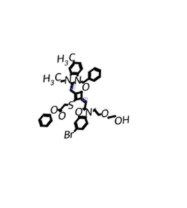 CCN1/C(=C/C2=C(SCC(=O)Oc3ccccc3)C(=C\c3oc4cc(Br)ccc4[n+]3CCOCCO)/C2=O)N(Cc2ccccc2)c2ccc(C)cc21